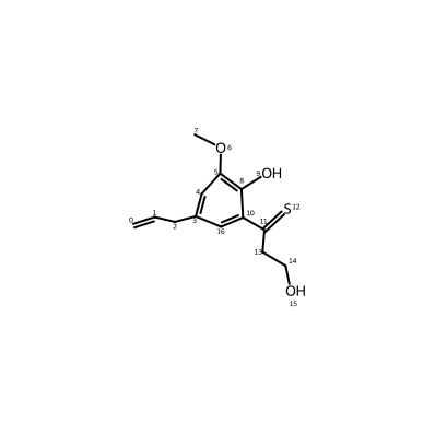 C=CCc1cc(OC)c(O)c(C(=S)CCO)c1